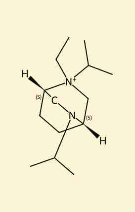 CC[N+]1(C(C)C)C[C@@H]2CC[C@H]1CN2C(C)C